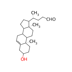 C[C@H](CCC=O)C1CCC2C3CC=C4CC(O)CC[C@]4(C)C3CC[C@@]21C